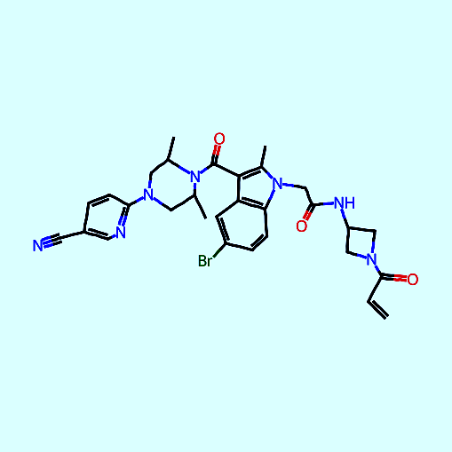 C=CC(=O)N1CC(NC(=O)Cn2c(C)c(C(=O)N3C(C)CN(c4ccc(C#N)cn4)CC3C)c3cc(Br)ccc32)C1